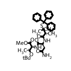 COC(=O)[C@@H](NC(=O)[C@H](CC(N)=O)NC(=O)[C@@H](C)C(C)(C)SC(c1ccccc1)(c1ccccc1)c1ccccc1)[C@@H](C)OC(C)(C)C